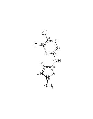 Cn1cc(Nc2ccc(Cl)c(F)c2)nn1